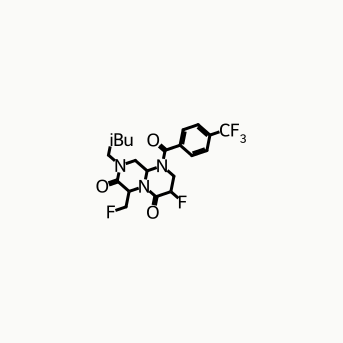 CCC(C)CN1CC2N(C(=O)c3ccc(C(F)(F)F)cc3)CC(F)C(=O)N2C(CF)C1=O